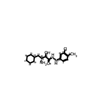 Cc1ccc(NNC(=O)C(O)[C@H](N)CC2CCCCC2)cc1Cl